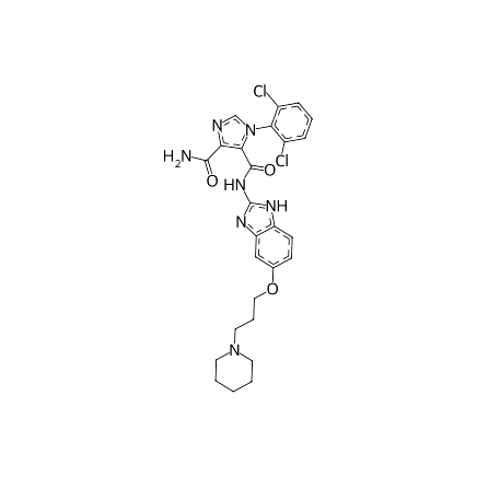 NC(=O)c1ncn(-c2c(Cl)cccc2Cl)c1C(=O)Nc1nc2cc(OCCCN3CCCCC3)ccc2[nH]1